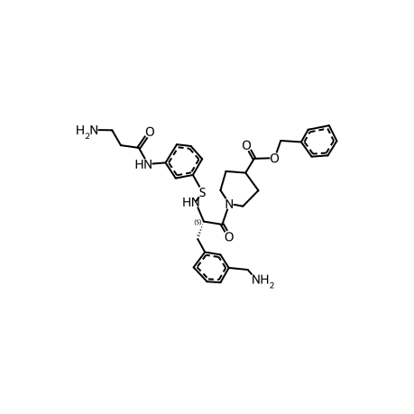 NCCC(=O)Nc1cccc(SN[C@@H](Cc2cccc(CN)c2)C(=O)N2CCC(C(=O)OCc3ccccc3)CC2)c1